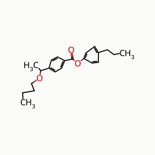 CCCCOC(C)c1ccc(C(=O)Oc2ccc(CCC)cc2)cc1